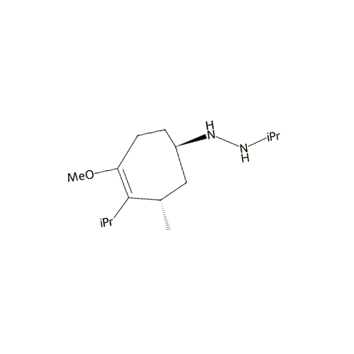 COC1=C(C(C)C)[C@@H](C)C[C@H](NNC(C)C)CC1